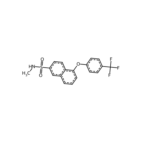 CNS(=O)(=O)c1ccc2c(Oc3ccc(C(F)(F)F)cc3)cccc2c1